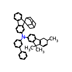 CC1C=CC2=C(C1)c1ccc(N(c3cccc(-c4ccccc4)c3)c3ccc4c(c3)C3(c5ccccc5-4)C4CC5CC(C4)CC3C5)cc1C2(C)C